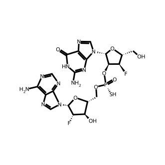 Nc1nc2c(ncn2[C@@H]2O[C@H](CO)[C@@H](F)[C@H]2O[P@](=O)(S)OC[C@H]2O[C@@H](n3cnc4c(N)ncnc43)[C@@H](F)[C@@H]2O)c(=O)[nH]1